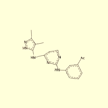 CC(=O)c1cccc(Nc2nccc(Nc3[nH]nc(C)c3C)n2)c1